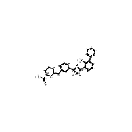 Cc1c(-c2ccccc2)cccc1-c1nnc(-c2cccc(CN3CCC[C@@H](C(=O)O)C3)c2)o1